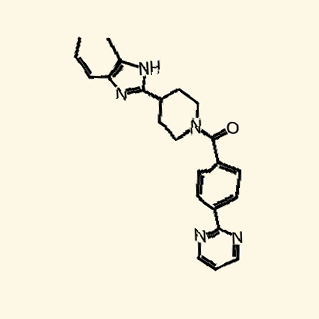 C/C=C\c1nc(C2CCN(C(=O)c3ccc(-c4ncccn4)cc3)CC2)[nH]c1C